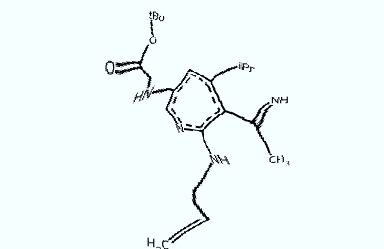 C=CCNc1nc(NC(=O)OC(C)(C)C)cc(C(C)C)c1C(C)=N